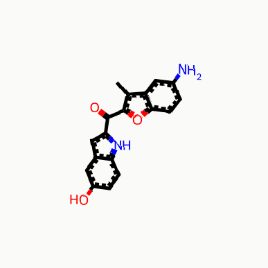 Cc1c(C(=O)c2cc3cc(O)ccc3[nH]2)oc2ccc(N)cc12